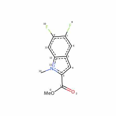 COC(=O)c1cc2cc(F)c(F)cc2n1C